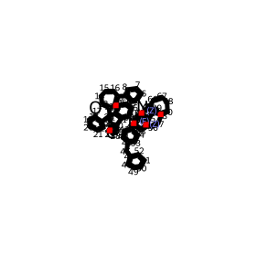 C1=Cc2c(n(-c3cccc(C4=CC5=C(CC=C4)Oc4ccccc4C54c5ccccc5-c5c(N(/C6=C/C=C\C/C=C\C6)c6ccc(Cc7ccccc7)cc6)cccc54)c3)c3ccccc23)C=CC1